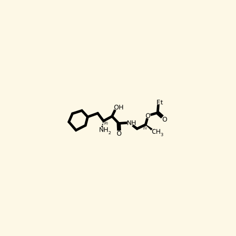 CCC(=O)O[C@@H](C)CNC(=O)C(O)[C@H](N)CC1CCCCC1